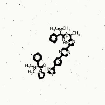 C[C@H](NC(=O)[C@@H](c1ccccc1)N(C)C)c1ncc(-c2cnc(-c3ccc(-c4cnc([C@@H]5CCCN5C(=O)[C@@H](c5ccccc5)N(C)C)[nH]4)cc3)cn2)[nH]1